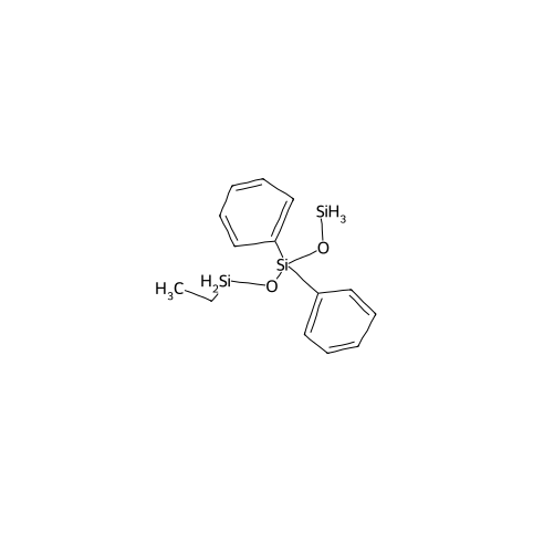 CC[SiH2]O[Si](O[SiH3])(c1ccccc1)c1ccccc1